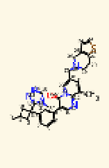 CC1CC(c2cccc(-c3cnc4c(C(F)(F)F)cc(CN5CCc6sccc6C5)cn4c3=O)c2)(c2nncn2C)C1